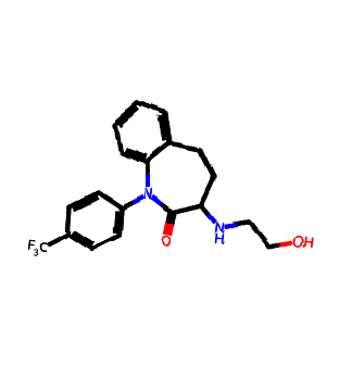 O=C1C(NCCO)CCc2ccccc2N1c1ccc(C(F)(F)F)cc1